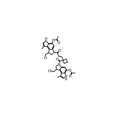 CC(=O)Oc1cc2c(c3c(C)c[nH]c13)C(CCl)CN2C(=O)CCC1(C(=O)N2CC(CCl)c3c2cc(OC(C)=O)c2[nH]cc(C)c32)CCC1